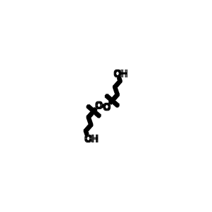 CC(C)(CCCO)OOC(C)(C)CCCO